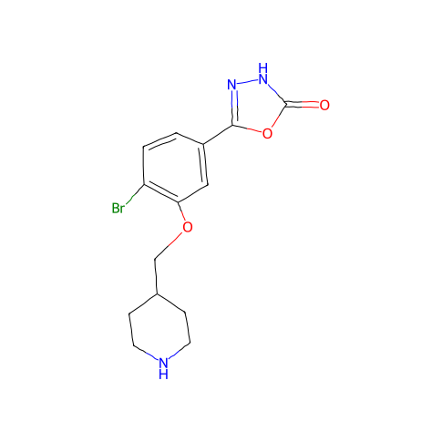 O=c1[nH]nc(-c2ccc(Br)c(OCC3CCNCC3)c2)o1